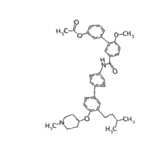 COc1ccc(C(=O)Nc2ccc(-c3ccc(OC4CCN(C)CC4)c(CCC(C)C)c3)cc2)cc1-c1cccc(OC(C)=O)c1